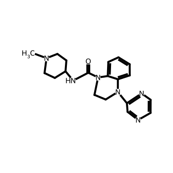 CN1CCC(NC(=O)N2CCN(c3cnccn3)c3ccccc32)CC1